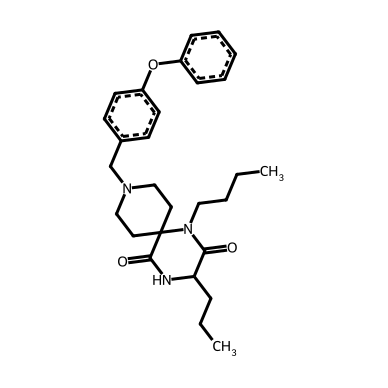 CCCCN1C(=O)C(CCC)NC(=O)C12CCN(Cc1ccc(Oc3ccccc3)cc1)CC2